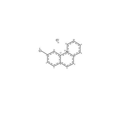 Clc1ccc2ccc3cccc[n+]3c2c1.[Cl-]